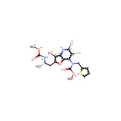 C[C@@H](Cc1oc2c(N(Cc3cccs3)C(=O)OC(C)(C)C)c(F)c(Cl)nc2c1Br)NC(=O)OC(C)(C)C